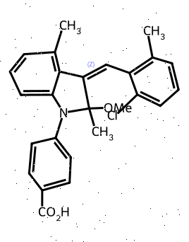 COC1(C)/C(=C\c2c(C)cccc2Cl)c2c(C)cccc2N1c1ccc(C(=O)O)cc1